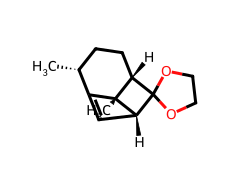 C[C@@H]1CC[C@@H]2C3(OCCO3)[C@@H]3C=C1[C@]23C